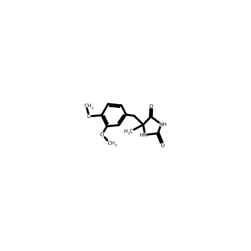 COc1ccc(CC2(C)NC(=O)NC2=O)cc1OC